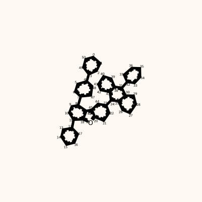 c1ccc(-c2ccc(-c3ccc(-c4ccccc4)c4oc5ccc(-c6c7ccccc7c(-c7ccccc7)c7ccccc67)cc5c34)cc2)cc1